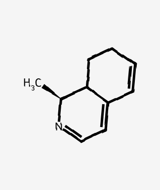 C[C@@H]1N=CC=C2C=CCCC21